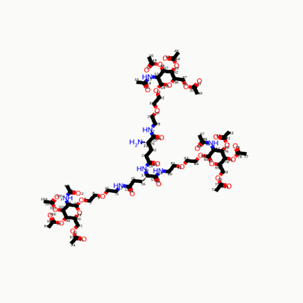 CC(=O)NC1C(OCCOCCNC(=O)CC[C@H](NC(=O)CC[C@H](N)C(=O)NCCOCCOC2OC(COC(C)=O)C(OC(C)=O)C(OC(C)=O)C2NC(C)=O)C(=O)NCCOCCOC2OC(COC(C)=O)C(OC(C)=O)C(OC(C)=O)C2NC(C)=O)OC(COC(C)=O)C(OC(C)=O)C1OC(C)=O